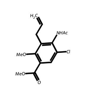 C=CCc1c(NC(C)=O)c(Cl)cc(C(=O)OC)c1OC